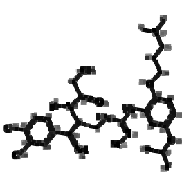 CCN(C(=O)CO)C(CN/C(=N\C#N)Nc1cc(OC(F)F)ccc1OCCCN(C)C)C(=N)c1ccc(Cl)c(Cl)c1